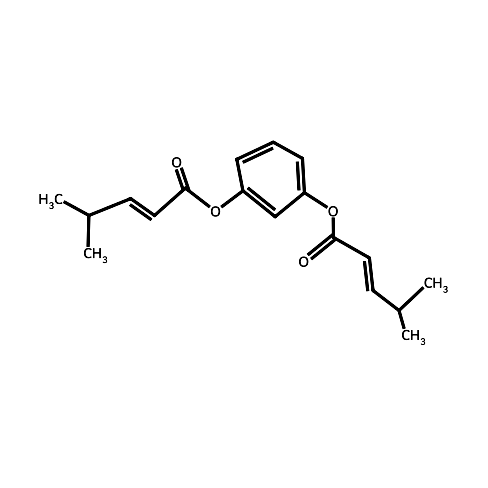 CC(C)C=CC(=O)Oc1cccc(OC(=O)C=CC(C)C)c1